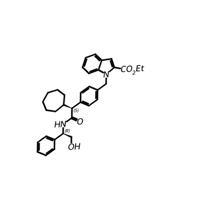 CCOC(=O)c1cc2ccccc2n1Cc1ccc([C@@H](C(=O)N[C@@H](CO)c2ccccc2)C2CCCCCC2)cc1